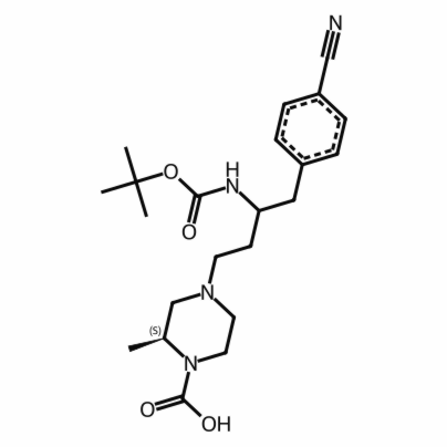 C[C@H]1CN(CCC(Cc2ccc(C#N)cc2)NC(=O)OC(C)(C)C)CCN1C(=O)O